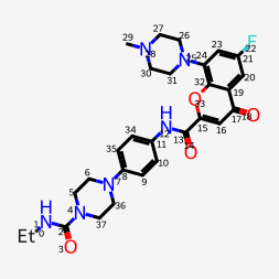 CCNC(=O)N1CCN(c2ccc(NC(=O)c3cc(=O)c4cc(F)cc(N5CCN(C)CC5)c4o3)cc2)CC1